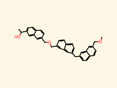 COCc1ccc2ccc(Cc3ccc4ccc(COCc5ccc6ccc(C(C)O)cc6c5)cc4c3)cc2c1